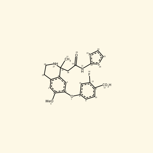 COc1cc2c(cc1Oc1ccc(C(=O)O)c(F)c1)C(C)(CC(=O)Nc1nccs1)NCC2